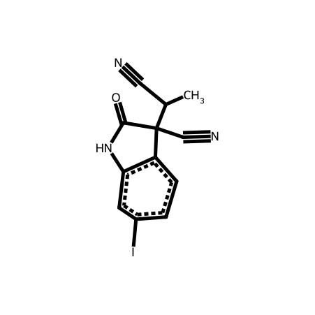 CC(C#N)C1(C#N)C(=O)Nc2cc(I)ccc21